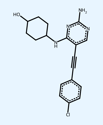 Nc1ncc(C#Cc2ccc(Cl)cc2)c(NC2CCC(O)CC2)n1